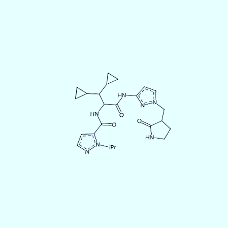 CC(C)n1nccc1C(=O)NC(C(=O)Nc1ccn(CC2CCNC2=O)n1)C(C1CC1)C1CC1